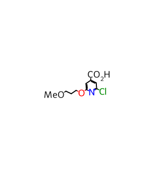 COCCCOc1cc(C(=O)O)cc(Cl)n1